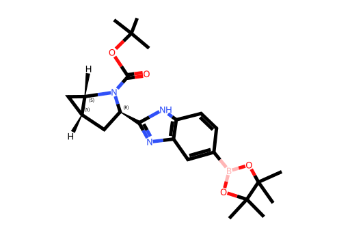 CC(C)(C)OC(=O)N1[C@@H](c2nc3cc(B4OC(C)(C)C(C)(C)O4)ccc3[nH]2)C[C@@H]2C[C@@H]21